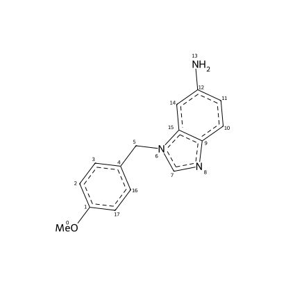 COc1ccc(Cn2cnc3ccc(N)cc32)cc1